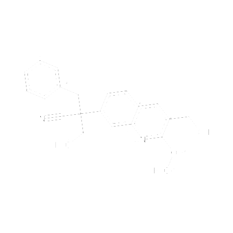 CCc1cc2ccc(C(C#N)(CC)Cc3ccccc3)cc2nc1OC